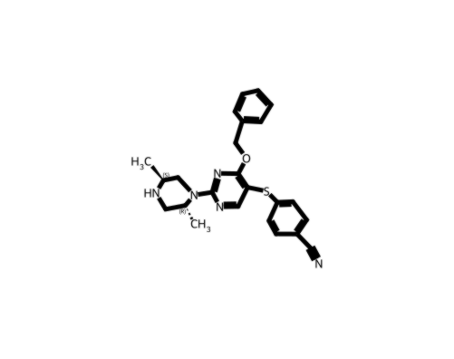 C[C@@H]1CN[C@@H](C)CN1c1ncc(Sc2ccc(C#N)cc2)c(OCc2ccccc2)n1